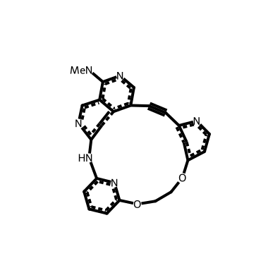 CNc1ncc2c3cc(ncc13)Nc1cccc(n1)OCCOc1ccnc(c1)C#C2